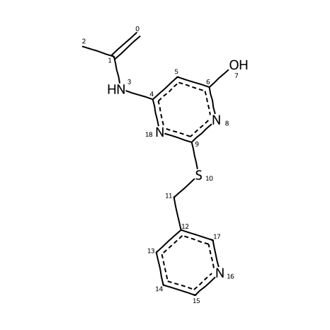 C=C(C)Nc1cc(O)nc(SCc2cccnc2)n1